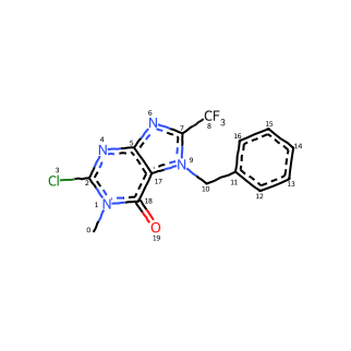 Cn1c(Cl)nc2nc(C(F)(F)F)n(Cc3ccccc3)c2c1=O